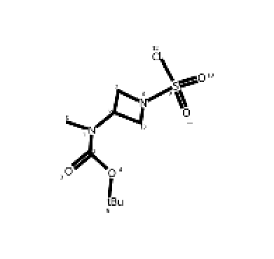 CN(C(=O)OC(C)(C)C)C1CN(S(=O)(=O)Cl)C1